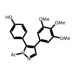 COc1cc(-c2cnn(C(C)=O)c2-c2ccc(O)cc2)cc(OC)c1OC